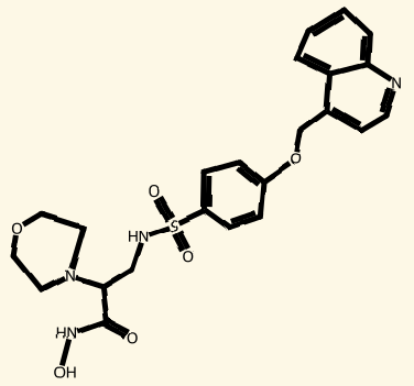 O=C(NO)C(CNS(=O)(=O)c1ccc(OCc2ccnc3ccccc23)cc1)N1CCOCC1